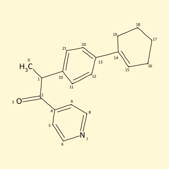 CC(C(=O)c1ccncc1)c1ccc(C2=CCCCC2)cc1